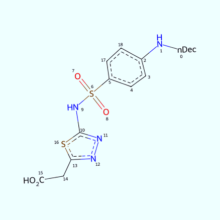 CCCCCCCCCCNc1ccc(S(=O)(=O)Nc2nnc(CC(=O)O)s2)cc1